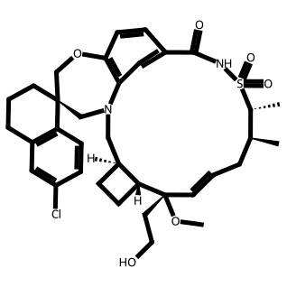 CO[C@@]1(CCO)/C=C/C[C@H](C)[C@@H](C)S(=O)(=O)NC(=O)c2ccc3c(c2)N(C[C@@H]2CC[C@H]21)C[C@@]1(CCCc2cc(Cl)ccc21)CO3